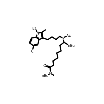 CCCCC(CCCCCCC(=O)N(C)CCCC)N(CCCCc1c(C)n(CC)c2ccc(Cl)cc12)C(C)=O